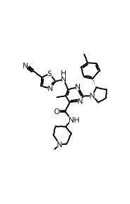 Cc1ccc([C@@H]2CCCN2c2nc(Nc3ncc(C#N)s3)c(C)c(C(=O)NC3CCN(C)CC3)n2)cc1